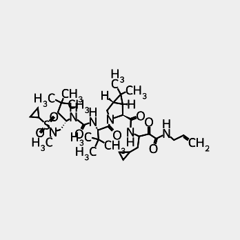 C=CCNC(=O)C(=O)C(CC1CC1)NC(=O)[C@@H]1[C@@H]2[C@H](CN1C(=O)[C@@H](NC(=O)N[C@H](CN(C)S(=O)(=O)C1CC1)CC(C)(C)C)C(C)(C)C)C2(C)C